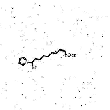 CCCCCCCC/C=C\CCCCCCC(CC)n1cccc1